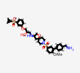 COc1ccc(S(=O)(=O)N2CCC3(CC2)CC(NCC(O)COc2cccc(S(=O)(=O)C4CC4)c2)CO3)cc1-c1ccc(CN)cc1